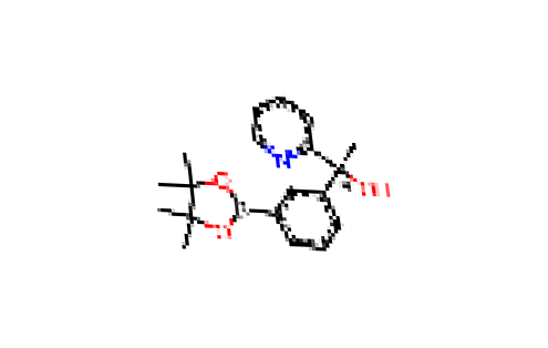 CC1(C)OB(c2cccc([C@@](C)(O)c3ccccn3)c2)OC1(C)C